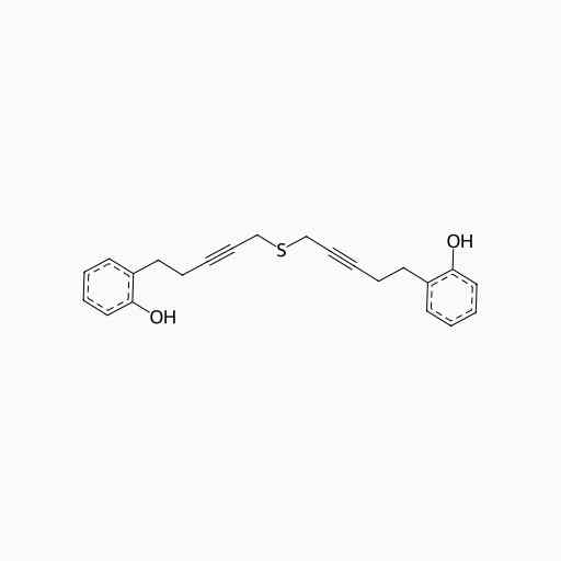 Oc1ccccc1CCC#CCSCC#CCCc1ccccc1O